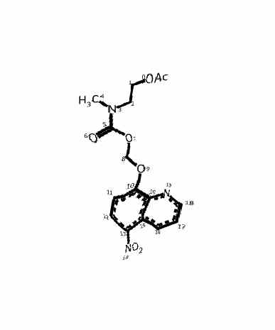 CC(=O)OCCN(C)C(=O)OCOc1ccc([N+](=O)[O-])c2cccnc12